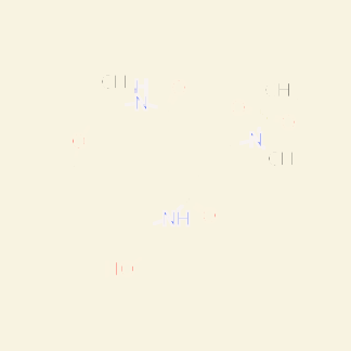 CC1COc2cccc(c2)C[C@@H](CO)NC(=O)c2cc(cc(N(C)S(C)(=O)=O)c2)C(=O)N1